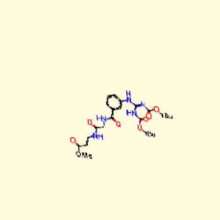 COC(=O)CCNC(=O)CNC(=O)c1cccc(N/C(=N/C(=O)OC(C)(C)C)NC(=O)OC(C)(C)C)c1